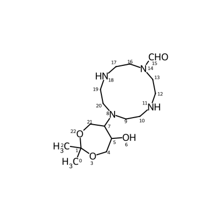 CC1(C)OCC(O)C(N2CCNCCN(C=O)CCNCC2)CO1